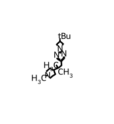 CN1CCC(C(C)(C)Cc2cnc(N3CC(C(C)(C)C)C3)nc2)CC1